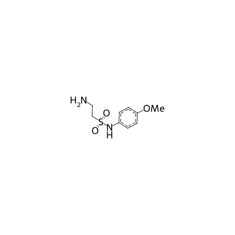 COc1ccc(NS(=O)(=O)CCN)cc1